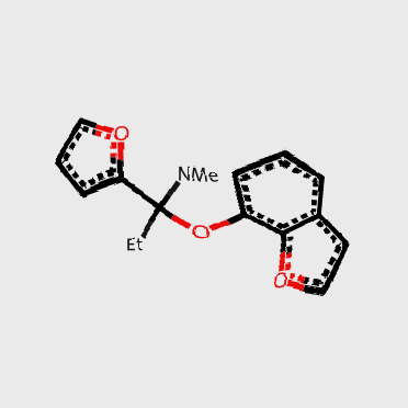 CCC(NC)(Oc1cccc2ccoc12)c1ccco1